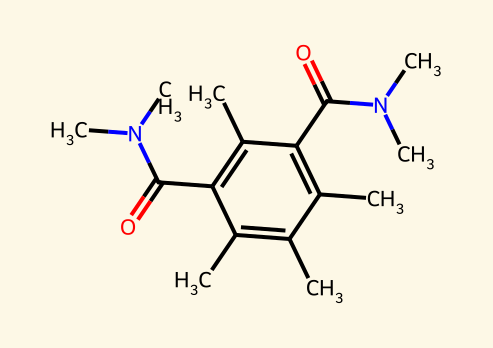 Cc1c(C)c(C(=O)N(C)C)c(C)c(C(=O)N(C)C)c1C